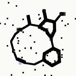 C=C1NCCC/C=C\Cc2cccc(c2)-n2cc(O)c(=O)c1n2